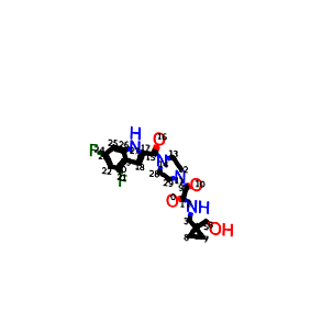 O=C(NCC1(CO)CC1)C(=O)N1CCN(C(=O)c2cc3c(F)cc(F)cc3[nH]2)CC1